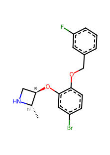 C[C@@H]1NC[C@H]1Oc1cc(Br)ccc1OCc1cccc(F)c1